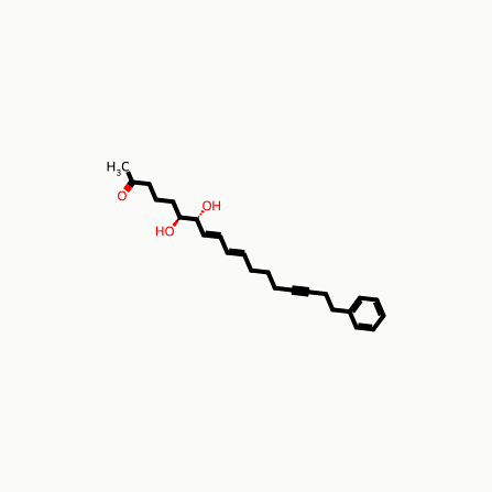 CC(=O)CCC[C@H](O)[C@H](O)/C=C/C=C/CCCC#CCCc1ccccc1